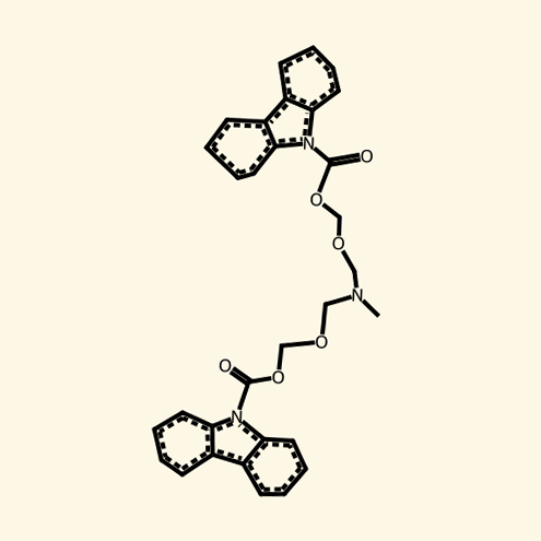 CN(COCOC(=O)n1c2ccccc2c2ccccc21)COCOC(=O)n1c2ccccc2c2ccccc21